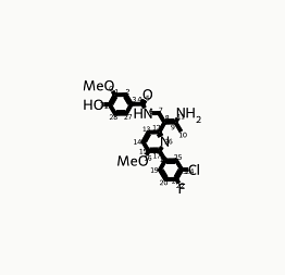 COc1cc(C(=O)NC/C(=C(/C)N)c2ccc(OC)c(-c3ccc(F)c(Cl)c3)n2)ccc1O